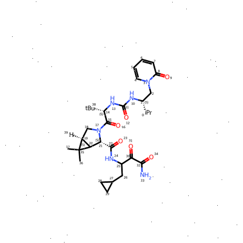 CC(C)[C@@H](Cn1ccccc1=O)NC(=O)N[C@H](C(=O)N1C[C@H]2C([C@H]1C(=O)NC(CC1CC1)C(=O)C(N)=O)C2(C)C)C(C)(C)C